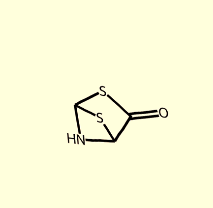 O=C1SC2NC1S2